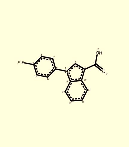 O=C(O)c1cn(-c2ccc(F)cc2)c2ccccc12